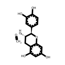 C=O.Oc1cc(O)c2c(c1)O[C@H](c1ccc(O)c(O)c1)[C@@H](O)C2